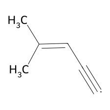 [C]#CC=C(C)C